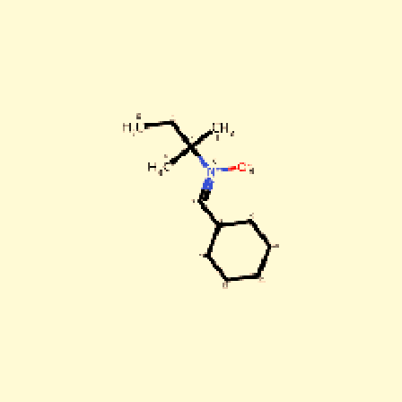 CCC(C)(C)[N+]([O-])=CC1CCCCC1